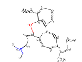 COc1ccccc1OC(CCN(C)C)c1ccccc1.O=C(O)C=CC(=O)O